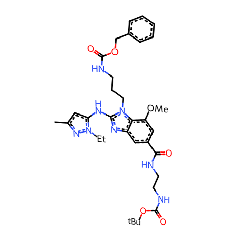 CCn1nc(C)cc1Nc1nc2cc(C(=O)NCCNC(=O)OC(C)(C)C)cc(OC)c2n1CCCNC(=O)OCc1ccccc1